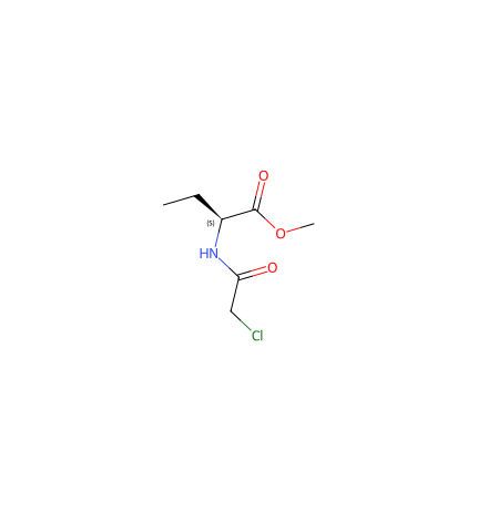 CC[C@H](NC(=O)CCl)C(=O)OC